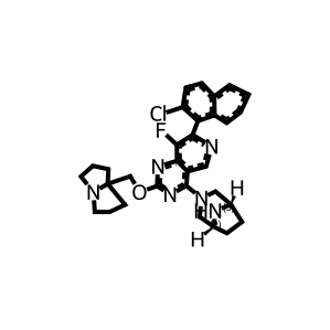 Fc1c(-c2c(Cl)ccc3ccccc23)ncc2c(N3C[C@H]4CC[C@@H](C3)N4)nc(OCC34CCCN3CCC4)nc12